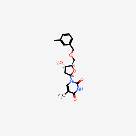 Cc1cccc(COC[C@H]2O[C@@H](n3cc(C(F)(F)F)c(=O)[nH]c3=O)C[C@@H]2O)c1